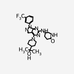 CC(C)(O)C1CCN(c2nc(N[C@H]3CCC(=O)NC3)nc3c2cnn3-c2cccc(C(F)(F)F)c2)CC1